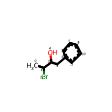 CC(Br)C(O)Cc1ccccc1